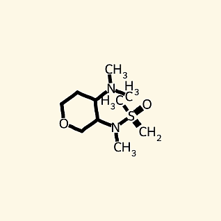 C=S(C)(=O)N(C)C1COCCC1N(C)C